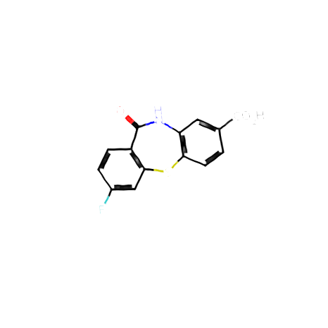 O=C(O)c1ccc2c(c1)NC(=O)c1ccc(F)cc1S2